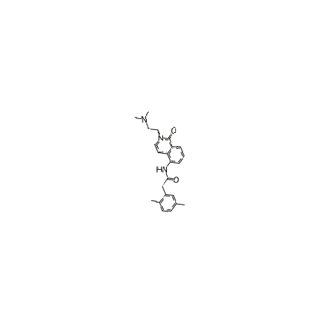 Cc1ccc(C)c(CC(=O)Nc2cccc3c(=O)n(CCN(C)C)ccc23)c1